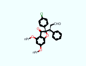 CCCOc1cc(OCCC)c2c(c1)O[C@@](c1ccc(Cl)cc1)([C@@H](CC=O)c1ccccc1)C2=O